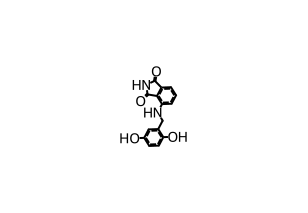 O=C1NC(=O)c2c(NCc3cc(O)ccc3O)cccc21